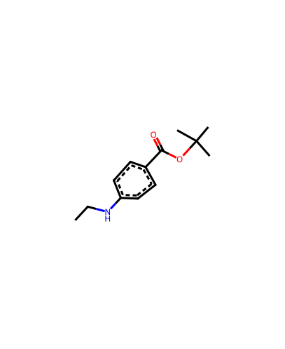 CCNc1ccc(C(=O)OC(C)(C)C)cc1